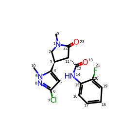 CN1C[C@H](c2cc(Cl)nn2C)[C@@H](C(=O)Nc2ccccc2F)C1=O